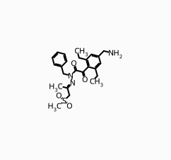 CCc1cc(CN)cc(CC)c1C(=O)C(=O)N(Cc1ccccc1)N=C(C)CS(C)(=O)=O